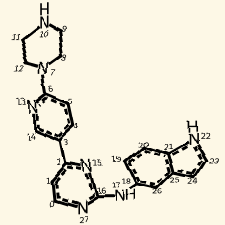 c1cc(-c2ccc(N3CCNCC3)nc2)nc(Nc2ccc3[nH]ccc3c2)n1